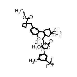 CCOC(=O)C1(Cc2ccc(OC)c(C3=C(CN4C(=O)O[C@H](c5cc(C)cc(C(F)(F)F)c5)[C@@H]4C)CC(C)(C)CC3)c2)CCC1